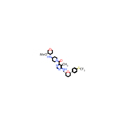 CO[C@@H]1COCC[C@@H]1NC1CCN(C(=O)c2ncnc(NC[C@H]3CCC[C@@H](c4ccc(SC(F)(F)F)cc4)O3)c2C)CC1